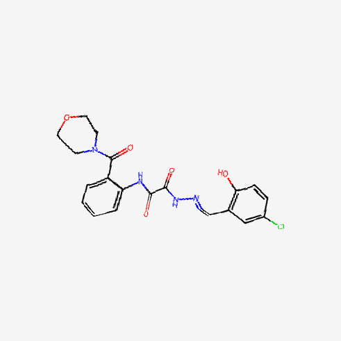 O=C(N/N=C/c1cc(Cl)ccc1O)C(=O)Nc1ccccc1C(=O)N1CCOCC1